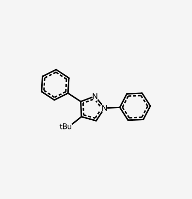 CC(C)(C)c1cn(-c2ccccc2)nc1-c1ccccc1